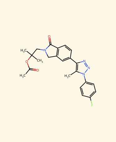 CC(=O)OC(C)(C)CN1Cc2cc(-c3nnn(-c4ccc(F)cc4)c3C)ccc2C1=O